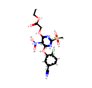 CCOC(=O)COc1nc(S(C)(=O)=O)nc(Oc2cc(C#N)ccc2Cl)c1[N+](=O)[O-]